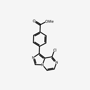 COC(=O)c1ccc(-c2ncn3ccnc(Cl)c23)cc1